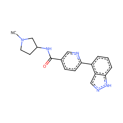 N#CN1CCC(NC(=O)c2ccc(-c3cccc4[nH]ncc34)nc2)C1